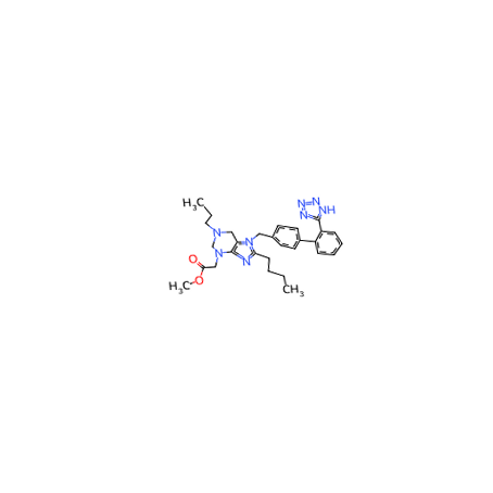 CCCCc1nc2c(n1Cc1ccc(-c3ccccc3-c3nnn[nH]3)cc1)CN(CCC)CN2CC(=O)OC